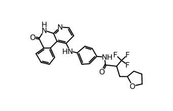 O=C(Nc1ccc(Nc2ccnc3[nH]c(=O)c4ccccc4c23)cc1)C(CC1CCCO1)C(F)(F)F